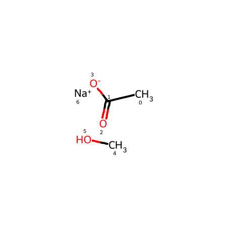 CC(=O)[O-].CO.[Na+]